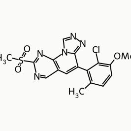 COc1ccc(C)c(-c2cc3cnc(S(C)(=O)=O)nc3n3cnnc23)c1Cl